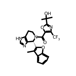 Cc1c([C@@H]2c3nc[nH]c3CCN2C(=O)c2oc(C(C)(C)O)nc2C(F)(F)F)oc2ccccc12